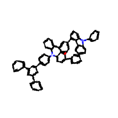 c1ccc(-c2ccc(N(c3ccc(-c4cc(-c5ccccc5)cc(-c5ccccc5)c4)cc3)c3ccccc3-c3cccc(-c4cccc5c4c4ccccc4n5-c4ccccc4)c3)cc2)cc1